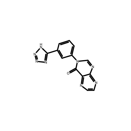 O=c1c2nccnc2ncn1-c1cccc(-c2nnn[nH]2)c1